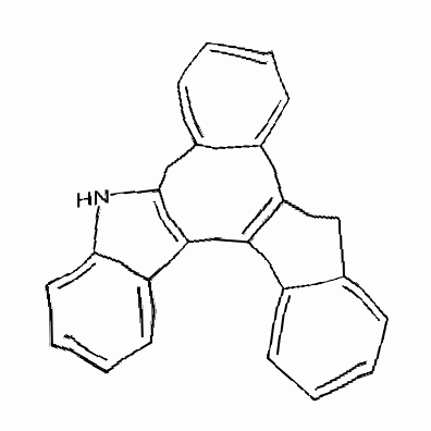 c1ccc2c(c1)Cc1c-2c2c3ccccc3[nH]c2c2ccccc12